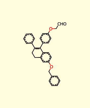 O=CCOc1ccc(C2=C(c3ccccc3)CCc3cc(OCc4ccccc4)ccc32)cc1